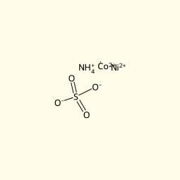 O=S(=O)([O-])[O-].[Co+2].[NH4+].[Ni+2]